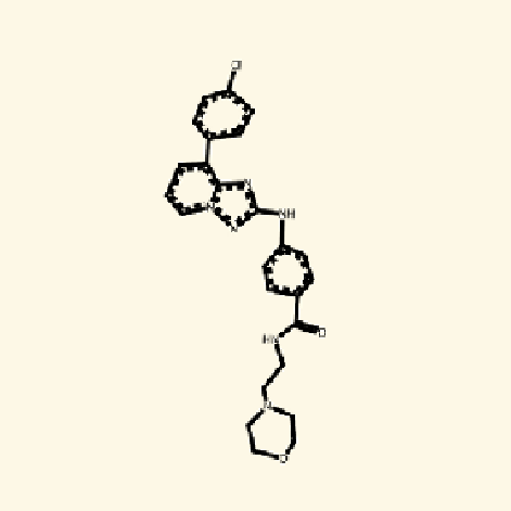 O=C(NCCN1CCOCC1)c1ccc(Nc2nc3c(-c4ccc(Cl)cc4)cccn3n2)cc1